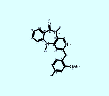 COc1cc(C)ccc1Cc1cc2c(cn1)N(C)C(=O)c1ccccc1N2C